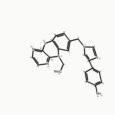 COCN1c2cc(Cn3cnc(-c4ccc(N)cc4)c3)ccc2Sc2nccnc21